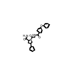 NC(=O)C1CC(c2ccccc2)CN1C(=O)CNC(=O)c1ccc(Oc2ccccc2)cc1